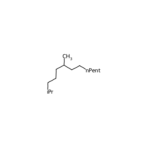 [CH2]C(C)CCCC(C)CCCCCCC